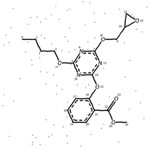 CCCCOc1nc(OCC2CO2)nc(Oc2ccccc2C(=O)OC)n1